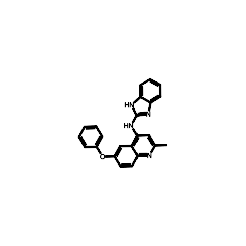 Cc1cc(Nc2nc3ccccc3[nH]2)c2cc(Oc3ccccc3)ccc2n1